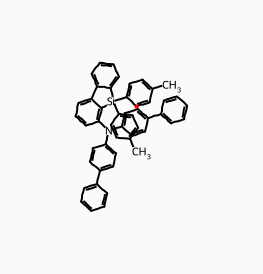 Cc1ccc([Si]2(c3ccc(C)cc3)c3ccccc3-c3cccc(N(c4ccc(-c5ccccc5)cc4)c4ccc(-c5ccccc5)cc4)c32)cc1